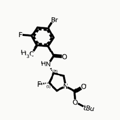 Cc1c(F)cc(Br)cc1C(=O)N[C@@H]1CN(C(=O)OC(C)(C)C)C[C@@H]1F